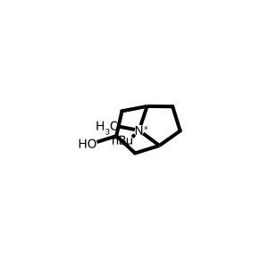 CCCC[N+]1(C)C2CCC1CC(O)C2